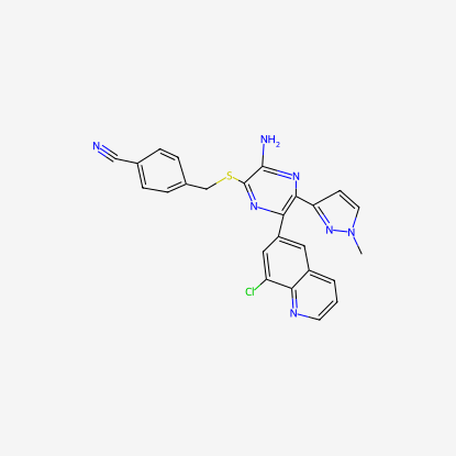 Cn1ccc(-c2nc(N)c(SCc3ccc(C#N)cc3)nc2-c2cc(Cl)c3ncccc3c2)n1